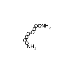 Nc1ccc(Oc2ccc(OCCOc3ccc(Oc4ccc(N)cc4)cc3)cc2)cc1